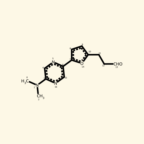 CN(C)c1cnc(-c2ccc(CCC=O)o2)cn1